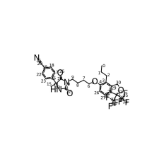 CCCc1c(OCCCCN2C(=O)NC(C)(c3ccc(C#N)cc3)C2=O)ccc2c1COC2(C(F)(F)F)C(F)(F)F